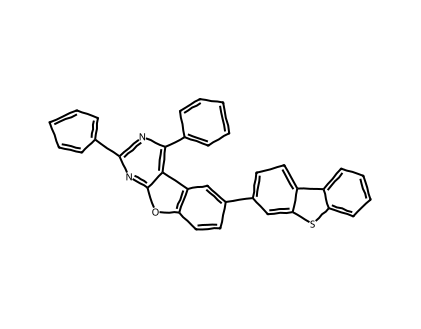 c1ccc(-c2nc(-c3ccccc3)c3c(n2)oc2ccc(-c4ccc5c(c4)sc4ccccc45)cc23)cc1